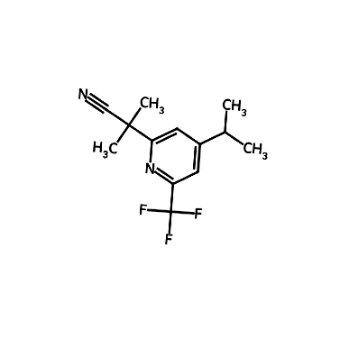 CC(C)c1cc(C(F)(F)F)nc(C(C)(C)C#N)c1